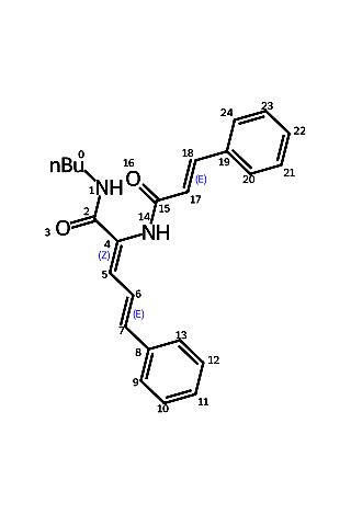 CCCCNC(=O)/C(=C/C=C/c1ccccc1)NC(=O)/C=C/c1ccccc1